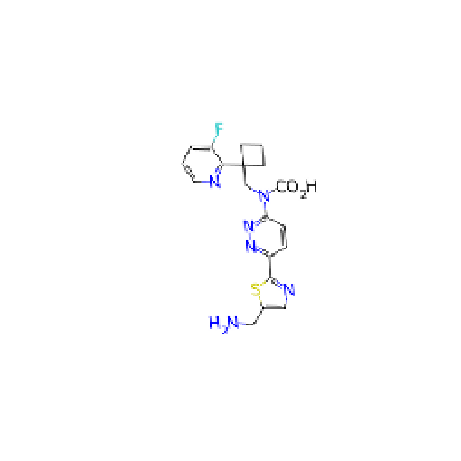 NCc1cnc(-c2ccc(N(CC3(c4ncccc4F)CCC3)C(=O)O)nn2)s1